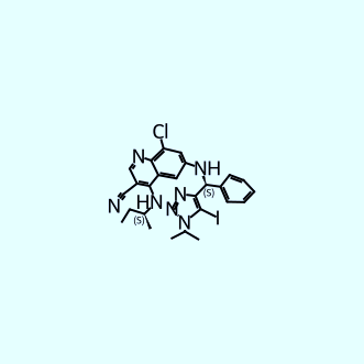 CC[C@H](C)Nc1c(C#N)cnc2c(Cl)cc(N[C@@H](c3ccccc3)c3nnn(C(C)C)c3I)cc12